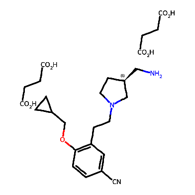 N#Cc1ccc(OCC2CC2)c(CCN2CC[C@@H](CN)C2)c1.O=C(O)CCC(=O)O.O=C(O)CCC(=O)O